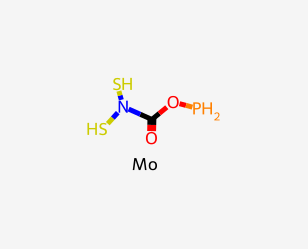 O=C(OP)N(S)S.[Mo]